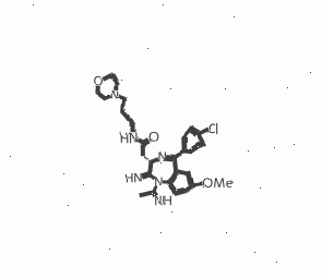 COc1ccc2c(c1)C(c1ccc(Cl)cc1)=N[C@@H](CC(=O)NCCCN1CCOCC1)C(=N)N2C(C)=N